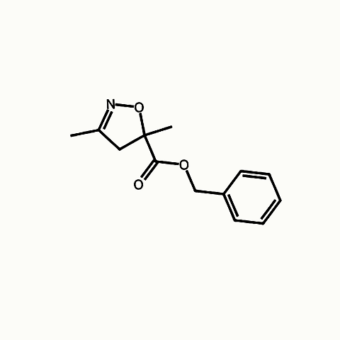 CC1=NOC(C)(C(=O)OCc2ccccc2)C1